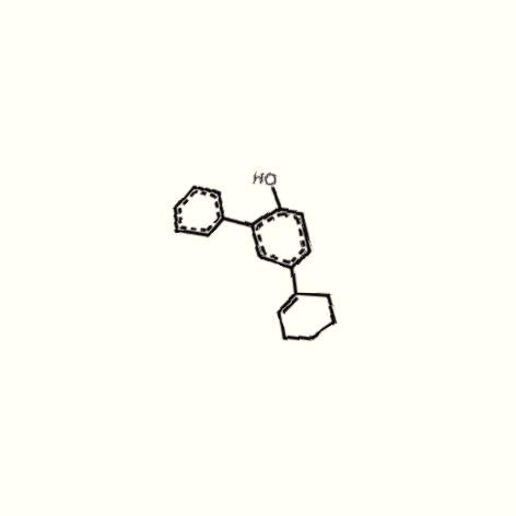 Oc1ccc(C2=CCCCC2)cc1-c1ccccc1